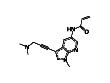 C=CC(=O)Nc1cnc2c(c1)c(C#CCN(C)C)cn2C